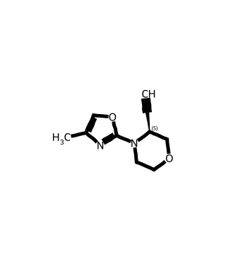 C#C[C@H]1COCCN1c1nc(C)co1